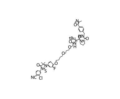 Cc1ncoc1-c1ccc(CNC(=O)[C@@H]2CCCN2C(=O)[C@@H](NC(=O)COCCCOCCCCOc2ccc(N3C(=S)N(c4ccc(C#N)c(Cl)c4)C(=O)C3(C)C)cc2F)C(C)(C)C)cc1